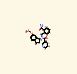 CC(C)Oc1ccc2c(c1)[C@H](N(Cc1ccccc1C(N)=O)C(=O)c1cccnc1)CC2